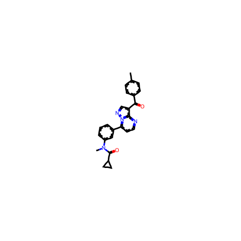 Cc1ccc(C(=O)c2cnn3c(-c4cccc(N(C)C(=O)C5CC5)c4)ccnc23)cc1